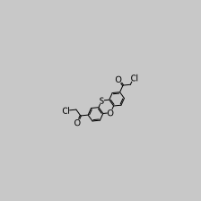 O=C(CCl)c1ccc2c(c1)Sc1cc(C(=O)CCl)ccc1O2